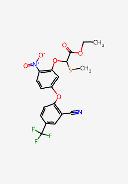 CCOC(=O)C(Oc1cc(Oc2ccc(C(F)(F)F)cc2C#N)ccc1[N+](=O)[O-])SC